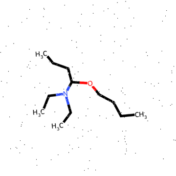 CCC[CH]OC(CCC)N(CC)CC